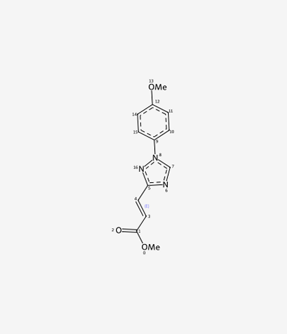 COC(=O)/C=C/c1ncn(-c2ccc(OC)cc2)n1